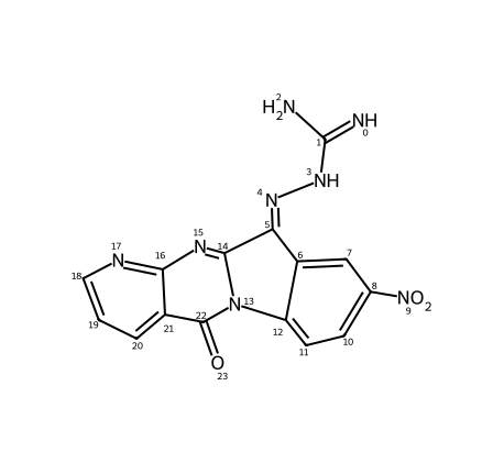 N=C(N)NN=C1c2cc([N+](=O)[O-])ccc2-n2c1nc1ncccc1c2=O